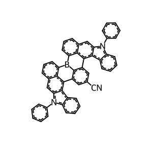 N#Cc1cc2c3c(c1)-c1c4c(cccc4cc4c1c1ccccc1n4-c1ccccc1)B3c1cccc3cc4c(c-2c13)c1ccccc1n4-c1ccccc1